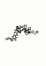 CCCOc1ccc(C=C2CCn3c2nc2cc(NC(=O)C(Cl)=C(Cl)C(=O)O)ccc2c3=O)cc1